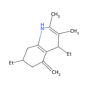 C=C1CC(CC)CC2=C1C(CC)C(C)=C(C)N2